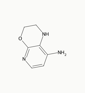 Nc1ccnc2c1NCCO2